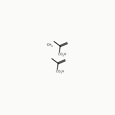 C.C=C(C)C(=O)O.C=C(C)C(=O)O